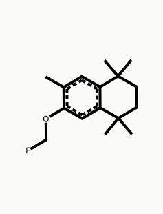 Cc1cc2c(cc1OCF)C(C)(C)CCC2(C)C